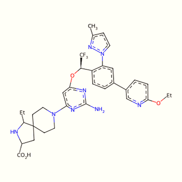 CCOc1ccc(-c2ccc([C@@H](Oc3cc(N4CCC5(CC4)CC(C(=O)O)NC5CC)nc(N)n3)C(F)(F)F)c(-n3ccc(C)n3)c2)cn1